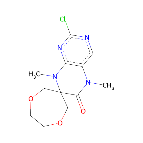 CN1C(=O)C2(COCCOC2)N(C)c2nc(Cl)ncc21